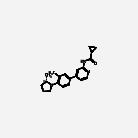 Cc1cc(-c2ccnc(NC(=O)C3CC3)c2)ccc1N1CCC[C@@H]1C